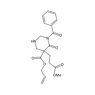 C=CCOC(=O)C1(CCC(=O)OC)CNCN(C(=O)c2ccccc2)C1=O